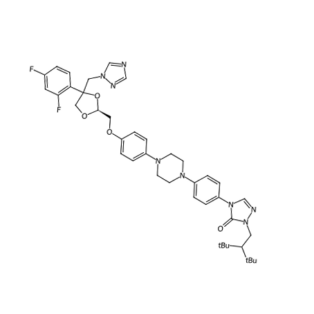 CC(C)(C)C(Cn1ncn(-c2ccc(N3CCN(c4ccc(OC[C@H]5OCC(Cn6cncn6)(c6ccc(F)cc6F)O5)cc4)CC3)cc2)c1=O)C(C)(C)C